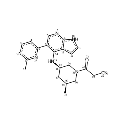 Cc1nccc(-c2cnc3[nH]ccc3c2N[C@@H]2C[C@H](C)CN(C(=O)CC#N)C2)n1